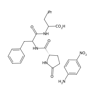 CC(C)CC(NC(=O)C(Cc1ccccc1)NC(=O)[C@@H]1CCC(=O)N1)C(=O)O.Nc1ccc([N+](=O)[O-])cc1